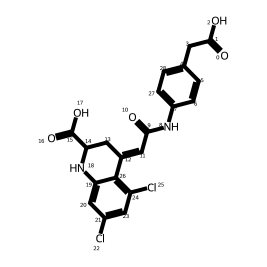 O=C(O)Cc1ccc(NC(=O)/C=C2\CC(C(=O)O)Nc3cc(Cl)cc(Cl)c32)cc1